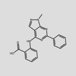 Cn1ncc2c(Nc3ccccc3C(=O)O)nc(-c3ccccc3)nc21